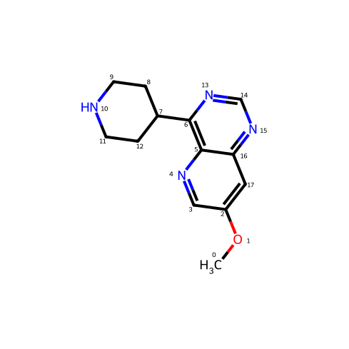 COc1cnc2c(C3CCNCC3)ncnc2c1